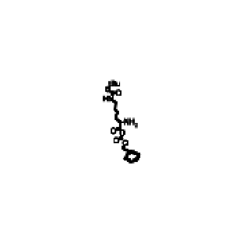 CC(C)(C)OC(=O)NCCCC[C@@H](N)C(=O)OC(=O)OCc1ccccc1